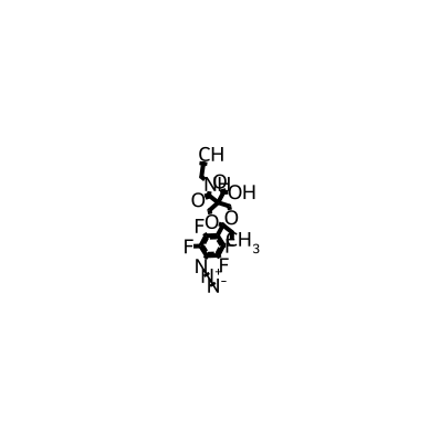 C#CCNC(=O)C1(C(=O)O)COC(CC)(c2c(F)c(F)c(N=[N+]=[N-])c(F)c2F)OC1